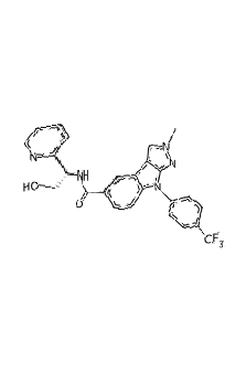 Cn1cc2c3cc(C(=O)N[C@H](CO)c4ccccn4)ccc3n(-c3ccc(C(F)(F)F)cc3)c2n1